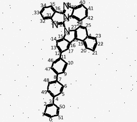 c1ccc(-c2ccc(-c3ccc(-c4ccc5c(c4)c4c6ccccc6ccc4n5-c4nc5ccccc5c5nc6ccccc6n45)cc3)cc2)cc1